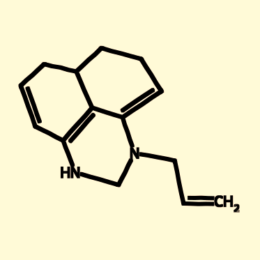 C=CCN1CNC2=C3C1=CCCC3CC=C2